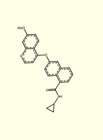 COc1ccc2c(Oc3ccc4c(C(=O)NC5CC5)cccc4c3)ccnc2c1